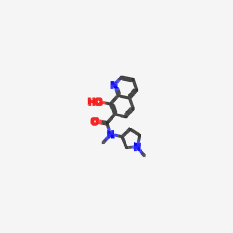 CN1CCC(N(C)C(=O)c2ccc3cccnc3c2O)C1